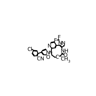 CC1CCC[C@H](n2ccc(-c3cc(Cl)ccc3C#N)cc2=O)c2cc(ccn2)-c2c(cnn2C(F)F)NC1=O